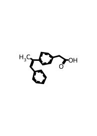 CC(=Cc1ccccc1)c1ccc(CC(=O)O)cc1